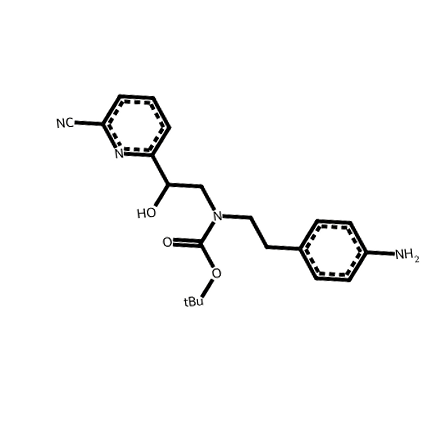 CC(C)(C)OC(=O)N(CCc1ccc(N)cc1)CC(O)c1cccc(C#N)n1